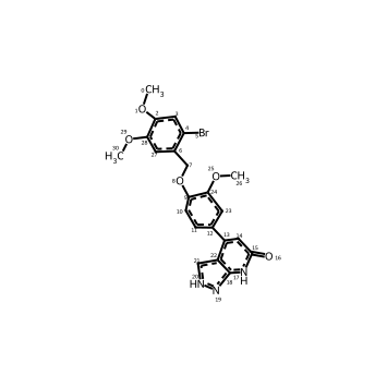 COc1cc(Br)c(COc2ccc(-c3cc(=O)[nH]c4n[nH]cc34)cc2OC)cc1OC